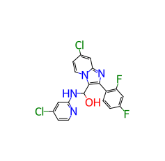 OC(Nc1cc(Cl)ccn1)c1c(-c2ccc(F)cc2F)nc2cc(Cl)ccn12